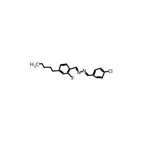 CCCCCc1ccc(C=NN=Cc2ccc(Cl)cc2)c(F)c1